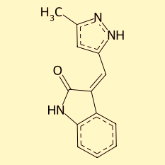 Cc1cc(C=C2C(=O)Nc3ccccc32)[nH]n1